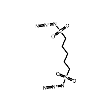 [N-]=[N+]=NS(=O)(=O)CCCCCS(=O)(=O)N=[N+]=[N-]